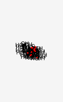 C[C@H](CC[C@@H](O[C@@H]1O[C@H](CO[C@H]2O[C@H](CO[C@H]3O[C@H](CO)[C@@H](O)[C@H](O)[C@H]3O)[C@@H](O)[C@H](O)[C@H]2O)[C@@H](O[C@H]2O[C@H](CO)[C@@H](O)[C@H](O)[C@H]2O)[C@H](O)[C@H]1O[C@@H]1O[C@H](CO)[C@@H](O)[C@H](O)[C@H]1O)C(C)(C)O)C1CC[C@@]2(C)C3CC=C4C(CC[C@H](O[C@@H]5O[C@H](CO[C@H]6O[C@H](CO)[C@@H](O)[C@H](O)[C@H]6O)[C@@H](O)[C@H](O)[C@H]5O)C4(C)C)[C@]3(C)[C@H](O)C[C@]12C